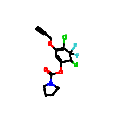 C#CCOC1=C(Cl)C(F)(F)C(Cl)C(OC(=O)N2CCCC2)=C1